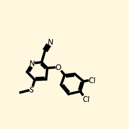 CSc1cnc(C#N)c(Oc2ccc(Cl)c(Cl)c2)c1